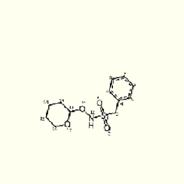 O=S(=O)(Cc1ccccc1)NOC1CCCCO1